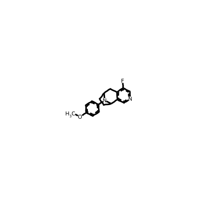 COc1ccc(N2C3CCC2c2cncc(F)c2C3)cc1